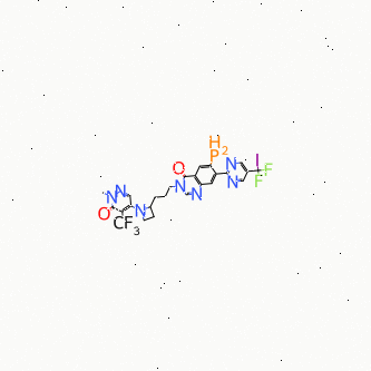 Cn1ncc(N2CCC2CCCn2cnc3cc(-c4ncc(C(F)(F)I)cn4)c(P)cc3c2=O)c(C(F)(F)F)c1=O